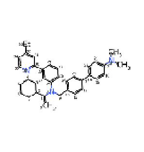 C=C(C1CCCCC1)N(Cc1ccc(-c2ccc(N(C)C)cc2)cc1)c1cccc(-c2cc(CC)ccn2)c1